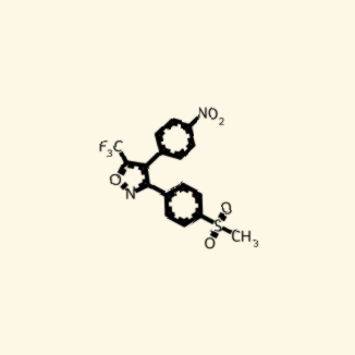 CS(=O)(=O)c1ccc(-c2noc(C(F)(F)F)c2-c2ccc([N+](=O)[O-])cc2)cc1